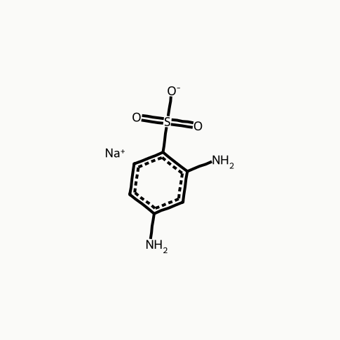 Nc1ccc(S(=O)(=O)[O-])c(N)c1.[Na+]